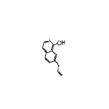 C=CCc1ccc2cc[c]c(O)c2c1